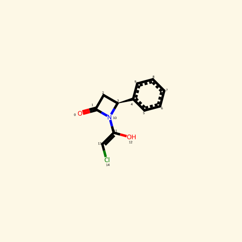 O=C1C[C@@H](c2ccccc2)N1/C(O)=C/Cl